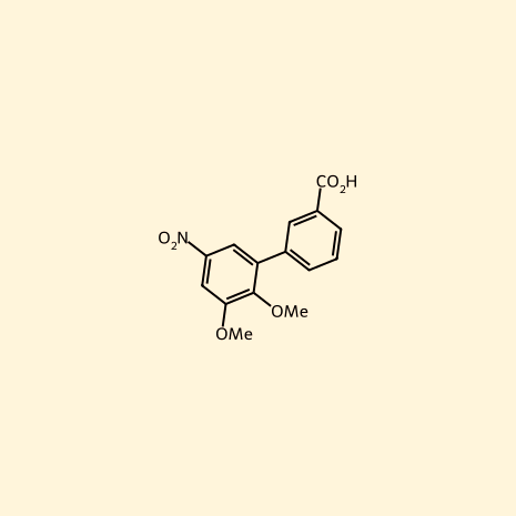 COc1cc([N+](=O)[O-])cc(-c2cccc(C(=O)O)c2)c1OC